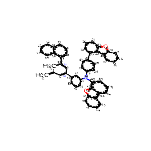 C=C/C=C(\C=C(/C)c1cccc2ccccc12)c1cccc(N(c2ccc(-c3cccc4oc5ccccc5c34)cc2)c2cccc3c2oc2ccccc23)c1